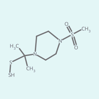 CC(C)(SS)N1CCN(S(C)(=O)=O)CC1